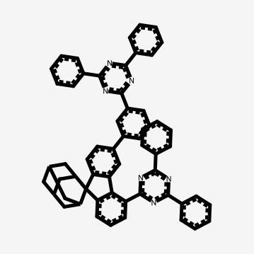 c1ccc(-c2nc(-c3ccccc3)nc(-c3cccc(-c4ccc5c(c4)-c4c(-c6nc(-c7ccccc7)nc(-c7ccccc7)n6)cccc4C54C5CC6CC(C5)CC4C6)c3)n2)cc1